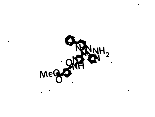 COC(=O)C1CCC(C(=O)Nc2ccc(-n3c(-c4cccnc4N)nc4ccc(-c5ccccc5)nc43)cn2)C1